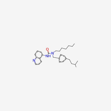 CCCCCCCN(Cc1ccc(CCC(C)C)cc1)C(=O)Nc1cccc2ncccc12